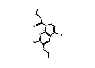 CCCC(=O)N1CC=C(Cl)c2cc(OCC)c(C)nc21